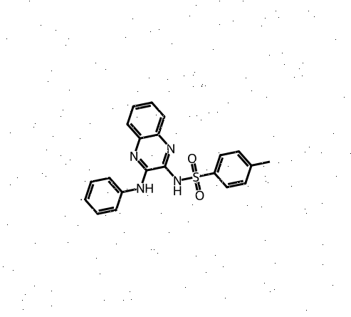 Cc1ccc(S(=O)(=O)Nc2nc3ccccc3nc2Nc2cc[c]cc2)cc1